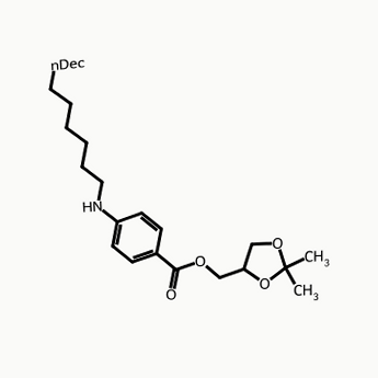 CCCCCCCCCCCCCCCCNc1ccc(C(=O)OCC2COC(C)(C)O2)cc1